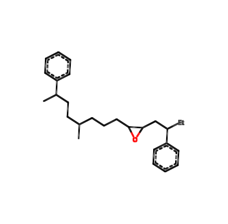 CCC(CC1OC1CCCC(C)CCC(C)c1ccccc1)c1ccccc1